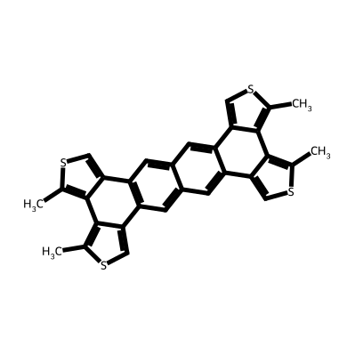 Cc1scc2c3cc4cc5c(cc4cc3c3csc(C)c3c12)c1csc(C)c1c1c(C)scc51